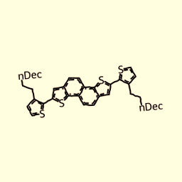 CCCCCCCCCCCCc1ccsc1-c1cc2ccc3c(ccc4cc(-c5sccc5CCCCCCCCCCCC)sc43)c2s1